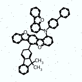 CC1(C)C2=CC(c3c4oc5cccc(N(c6ccc(-c7ccccc7)cc6)c6cccc7c6oc6ccccc67)c5c4cc4oc5ccccc5c34)CC=C2c2ccccc21